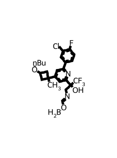 BOC=NCC(O)(c1cc(C2(C)CC(OCCCC)C2)cc(-c2ccc(F)c(Cl)c2)n1)C(F)(F)F